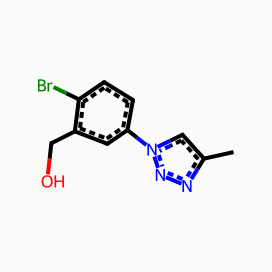 Cc1cn(-c2ccc(Br)c(CO)c2)nn1